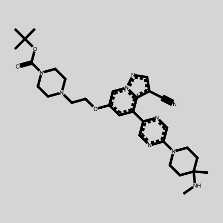 CNC1(C)CCN(c2cnc(-c3cc(OCCN4CCN(C(=O)OC(C)(C)C)CC4)cn4ncc(C#N)c34)cn2)CC1